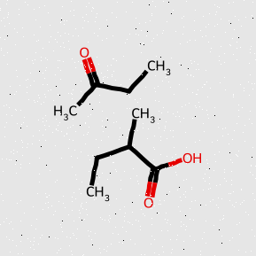 CCC(C)=O.CCC(C)C(=O)O